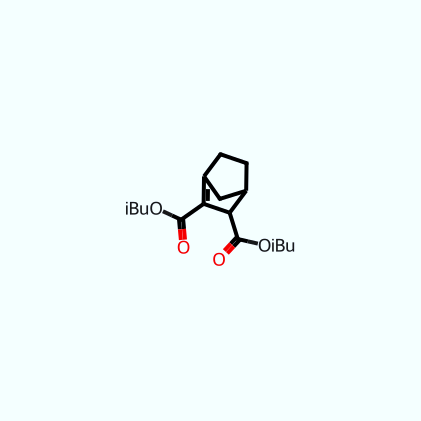 CC(C)COC(=O)C1=C2CCC(C2)C1C(=O)OCC(C)C